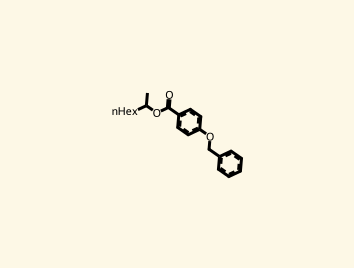 CCCCCCC(C)OC(=O)c1ccc(OCc2ccccc2)cc1